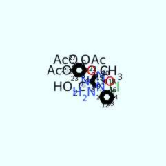 CC(=O)Oc1cc(N(C(=O)O)c2c(N)n(-c3ccccc3Cl)c(=O)n(C)c2=O)cc(OC(C)=O)c1OC(C)=O